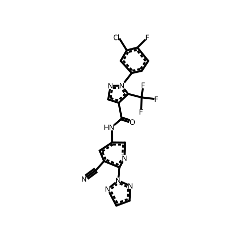 N#Cc1cc(NC(=O)c2cnn(-c3ccc(F)c(Cl)c3)c2C(F)(F)F)cnc1-n1nccn1